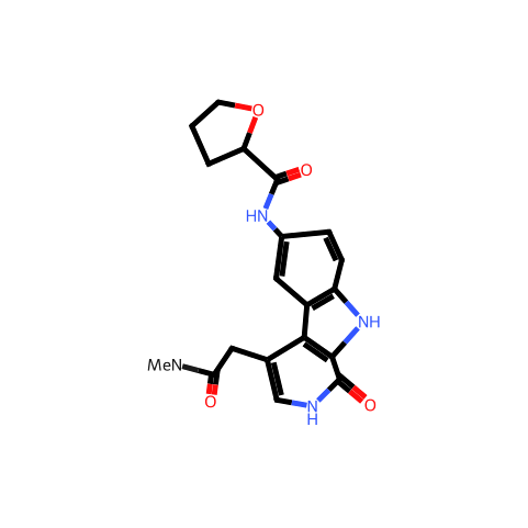 CNC(=O)Cc1c[nH]c(=O)c2[nH]c3ccc(NC(=O)C4CCCO4)cc3c12